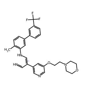 Cc1ccc(-c2cccc(C(F)(F)F)c2)cc1N/C=C(\C=N)c1cncc(OCCN2CCOCC2)c1